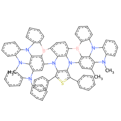 Cc1cc2c3c4c1N(C)c1ccccc1N4c1ccccc1B3c1ccc3c4c1N2c1c(-c2ccccc2)sc(-c2ccccc2)c1N4c1cc(N(c2ccccc2)c2ccccc2)c2c4c1B3c1ccccc1N4c1ccccc1N2C